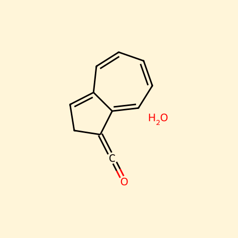 O.O=C=C1CC=C2C=CC=CC=C12